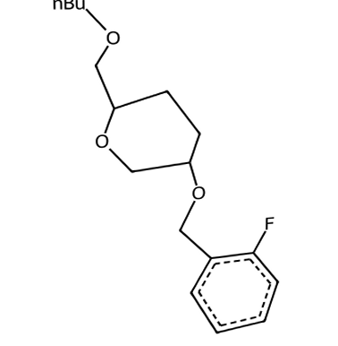 CCCCOCC1CCC(OCc2ccccc2F)CO1